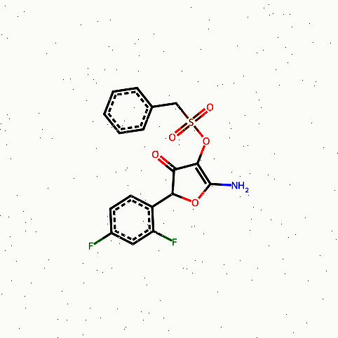 NC1=C(OS(=O)(=O)Cc2ccccc2)C(=O)C(c2ccc(F)cc2F)O1